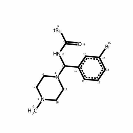 CN1CCN(C(NC(=O)C(C)(C)C)c2cccc(Br)c2)CC1